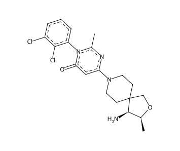 Cc1nc(N2CCC3(CC2)CO[C@@H](C)[C@H]3N)cc(=O)n1-c1cccc(Cl)c1Cl